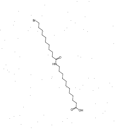 O=C(O)CCCCCCCCCCCNC(=O)CCCCCCCCCCBr